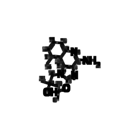 CCOc1nc2c(N)nc3cccc(C)c3c2n1CC(C)(C)O